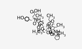 CCCC(=O)OCN(C(=O)[C@H](NC(=O)[C@@H]1CCCCN1C)[C@@H](C)CC)[C@@H](C[C@H](OC(C)=O)c1nc(C(=O)N[C@H](Cc2ccc(O)cc2)C[C@@H](C)C(=O)O)cs1)C(C)C